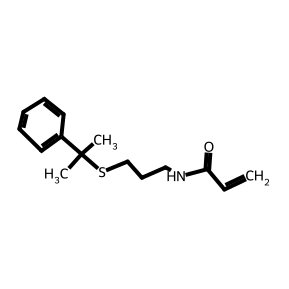 C=CC(=O)NCCCSC(C)(C)c1ccccc1